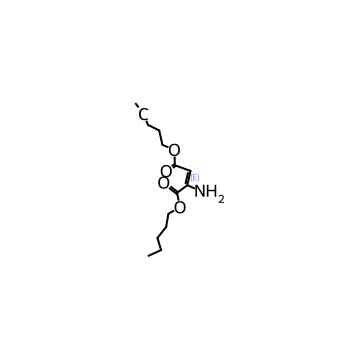 CCCCCOC(=O)/C=C(/N)C(=O)OCCCCC